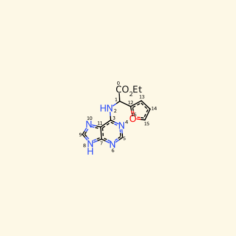 CCOC(=O)C(Nc1ncnc2[nH]cnc12)c1ccco1